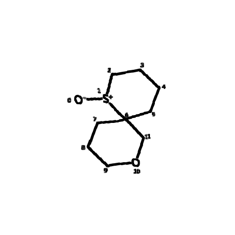 [O-][S+]1CCCCC12CCCOC2